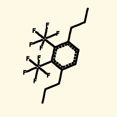 CCCc1ccc(CCC)c(S(F)(F)(F)(F)F)c1S(F)(F)(F)(F)F